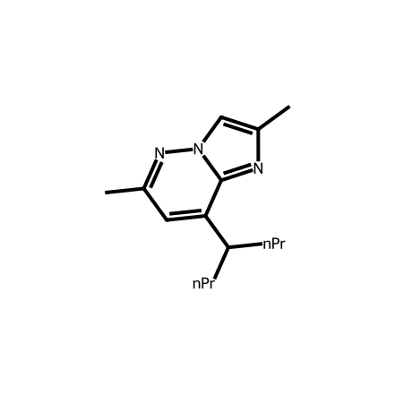 CCCC(CCC)c1cc(C)nn2cc(C)nc12